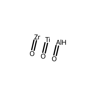 [O]=[AlH].[O]=[Ti].[O]=[Zr]